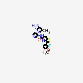 COc1ccc(F)c(-c2csc3ccc(C(=O)Nc4cnccc4N4CC(C)CC(N)C4)nc23)c1F